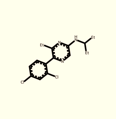 CCc1nc(NC(CC)CC)cnc1-c1ccc(Cl)cc1Cl